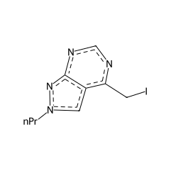 CCCn1cc2c(CI)ncnc2n1